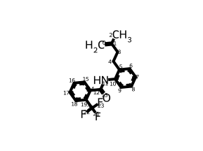 C=C(C)CCc1ccccc1NC(=O)c1ccccc1C(F)(F)F